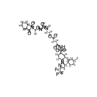 Cc1ccc(-c2cc(C(F)(F)F)nn2-c2ccc(S(=O)(=O)NC(=O)CCC(=O)OCCN(C)[N+]([O-])=NOC(C)N3C(=O)c4ccccc4C3=O)cc2)cc1